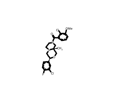 COc1cccc(C(=O)N2CCN3C[C@H](c4ccc(F)c(Cl)c4)OC[C@@]3(C)C2)c1Cl